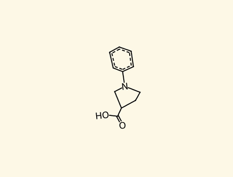 O=C(O)C1CCN(c2ccccc2)C1